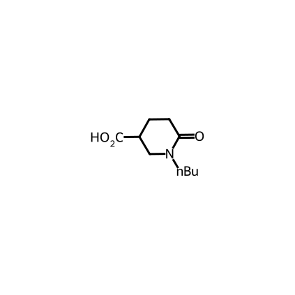 CCCCN1CC(C(=O)O)CCC1=O